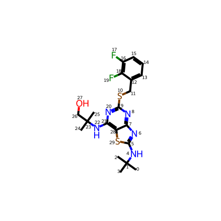 CC(C)(C)Nc1nc2nc(SCc3cccc(F)c3F)nc(NC(C)(C)CO)c2s1